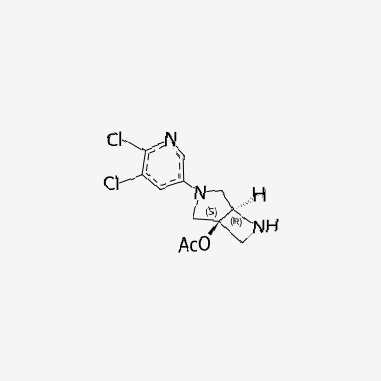 CC(=O)O[C@]12CN[C@@H]1CN(c1cnc(Cl)c(Cl)c1)C2